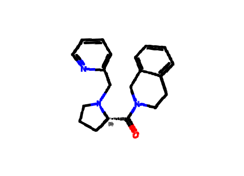 O=C([C@@H]1CCCN1Cc1ccccn1)N1CCc2ccccc2C1